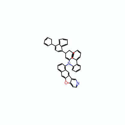 C1=CCC(c2ccc(C3C=C(N(c4ccccc4-c4ccccc4)c4cccc5cc6oc7ccncc7c6cc45)C=CC3)c3ccccc23)C=C1